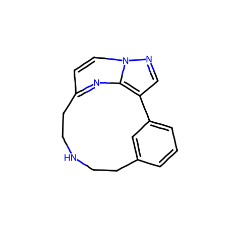 c1cc2cc(c1)-c1cnn3ccc(nc13)CCNCC2